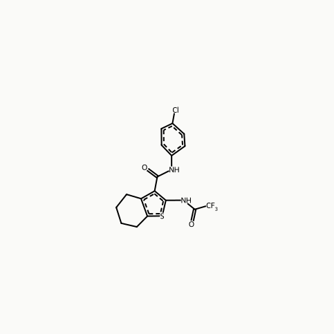 O=C(Nc1ccc(Cl)cc1)c1c(NC(=O)C(F)(F)F)sc2c1CCCC2